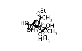 CC(C)(O)C(C)(C)O.CCOC(C)n1cc(B(O)O)cn1